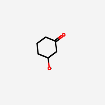 [O]C1CCCC(=O)C1